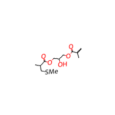 C=C(C)C(=O)OCC(O)COC(=O)C(C)CSC